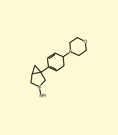 CCCN1CC2CC2(C2=CCC(N3CCOCC3)C=C2)C1